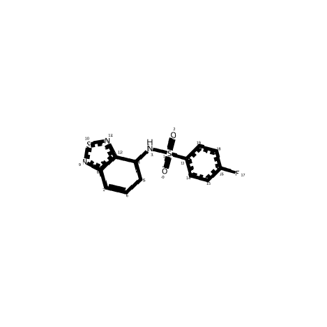 O=S(=O)(NC1CC=Cc2nsnc21)c1ccc(F)cc1